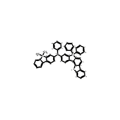 C[Si]1(C)c2ccccc2-c2ccc(N(c3ccccc3)c3ccc4c(c3)[Si](c3ccccc3)(c3ccccc3)c3ccc5c(sc6ccccc65)c3-4)cc21